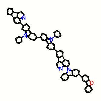 c1ccc(-n2c3ccc(-c4ccc5c(c4)c4ccc(-c6ccc7c8c(ccnc68)-c6ccccc6-7)cc4n5-c4ccccc4)cc3c3ccc(-c4ccc5c(c4)-c4ccnc6c(-n7c8ccccc8c8cc(-c9ccc%10oc%11ccccc%11c%10c9)ccc87)ccc-5c46)cc32)cc1